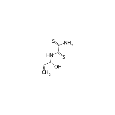 C=CC(O)NC(=S)C(N)=S